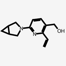 C=Cc1nc(N2CC3CC3C2)ccc1CO